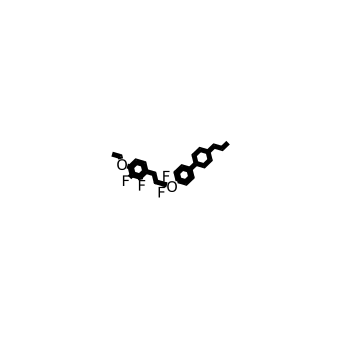 CCCC1CCC(c2ccc(OC(F)(F)CCc3ccc(OCC)c(F)c3F)cc2)CC1